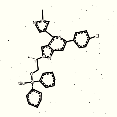 C[C@@H](CO[Si](c1ccccc1)(c1ccccc1)C(C)(C)C)n1cc2c(-c3cnn(C)c3)nc(-c3ccc(Cl)cc3)cc2n1